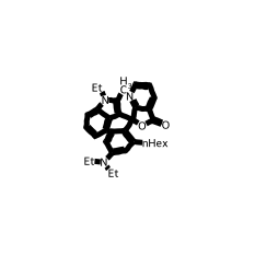 CCCCCCc1cc(N(CC)CC)ccc1C1(c2c(C)n(CC)c3ccccc23)OC(=O)c2cccnc21